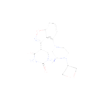 CC1CN(c2cccc3onc(C4CNC(=O)NC4=O)c23)CCN1C1COC1